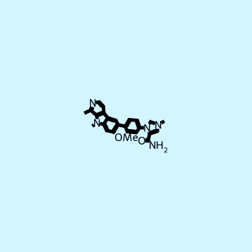 COc1cc2c(cc1-c1ccc(N3CN(C)C=C3C(N)=O)cc1)c1ccnc(C)c1n2C